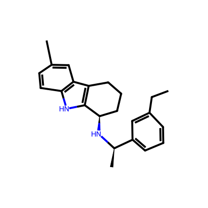 CCc1cccc([C@@H](C)N[C@@H]2CCCc3c2[nH]c2ccc(C)cc32)c1